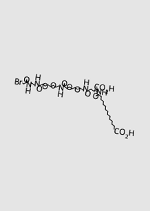 O=C(O)CCCCCCCCCCCCCCC(=O)N[C@@H](CCC(=O)NCCOCCOCC(=O)NCCOCCOCC(=O)NCCNC(=O)CBr)C(=O)O